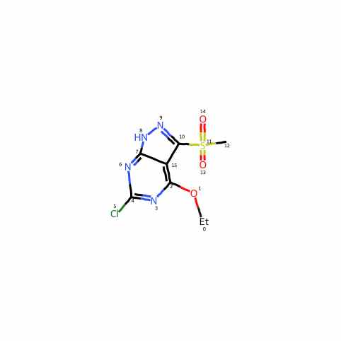 CCOc1nc(Cl)nc2[nH]nc(S(C)(=O)=O)c12